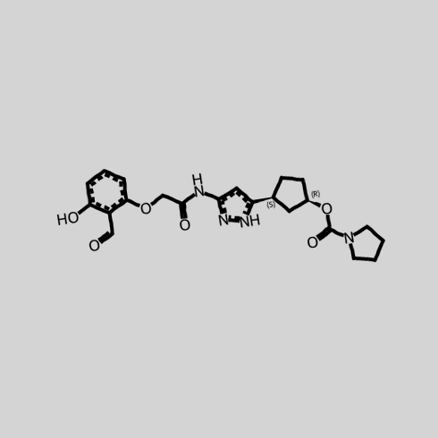 O=Cc1c(O)cccc1OCC(=O)Nc1cc([C@H]2CC[C@@H](OC(=O)N3CCCC3)C2)[nH]n1